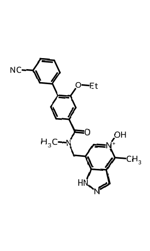 CCOc1cc(C(=O)N(C)Cc2c[n+](O)c(C)c3cn[nH]c23)ccc1-c1cccc(C#N)c1